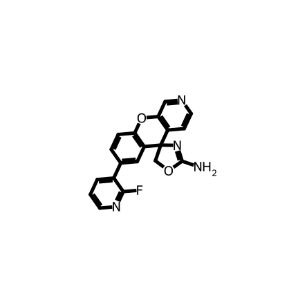 NC1=NC2(CO1)c1ccncc1Oc1ccc(-c3cccnc3F)cc12